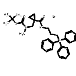 CN(CC1(C(=O)NCCC[P+](c2ccccc2)(c2ccccc2)c2ccccc2)CC1)C(=O)OC(C)(C)C.[Br-]